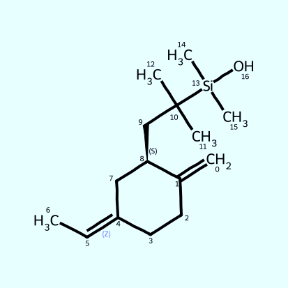 C=C1CC/C(=C/C)C[C@H]1CC(C)(C)[Si](C)(C)O